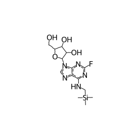 C[Si](C)(C)CNc1nc(F)nc2c1ncn2C1OC(CO)C(O)C1O